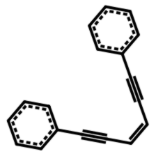 C(#Cc1ccccc1)/C=C\C#Cc1ccccc1